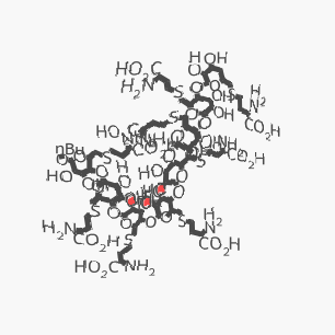 CCCCOC1OC(CSCC[C@H](N)C(=O)O)C(OC2OC(CSCC[C@H](N)C(=O)O)C(OC3OC(CSCC[C@H](N)C(=O)O)C(OC4OC(CSCC[C@H](N)C(=O)O)C(OC5OC(CSCC[C@H](N)C(=O)O)C(OC6OC(CSCC[C@H](N)C(=O)O)C(OC7OC(CSCC[C@H](N)C(=O)O)C(OC8OC(CSCC[C@H](N)C(=O)O)CC(O)C8O)C(O)C7O)C(O)C6O)C(O)C5O)C(O)C4O)C(O)C3O)C(O)C2O)C(O)C1O